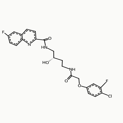 O=C(COc1ccc(Cl)c(F)c1)NCC[C@H](O)CNC(=O)c1ccc2cc(F)ccc2n1